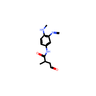 C=Nc1cc(NC(=O)C(C)CC=O)ccc1NC